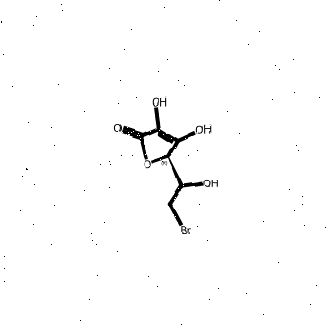 O=C1O[C@H](C(O)CBr)C(O)=C1O